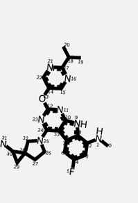 CNc1cc(F)cc2c1[nH]c1nc(Oc3cnc(C(C)C)nc3)nc(N3CCC4(CC4N)C3)c12